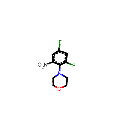 O=[N+]([O-])c1cc(F)cc(F)c1N1CCOCC1